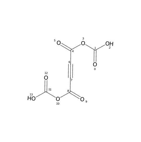 O=C(O)OC(=O)C#CC(=O)OC(=O)O